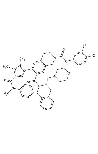 Cc1c(C(=O)N(C)c2ccccc2)cc(-c2cc3c(cc2C(=O)N2Cc4ccccc4C[C@H]2CN2CCOCC2)CN(C(=O)Oc2ccc(Cl)c(Cl)c2)CC3)n1C